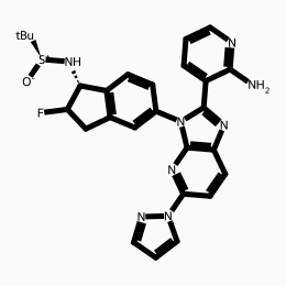 CC(C)(C)[S@+]([O-])N[C@@H]1c2ccc(-n3c(-c4cccnc4N)nc4ccc(-n5cccn5)nc43)cc2CC1F